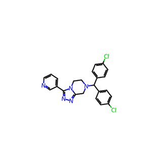 Clc1ccc(C(c2ccc(Cl)cc2)N2CCn3c(nnc3-c3cccnc3)C2)cc1